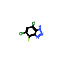 Fc1c(Cl)cc(Cl)c2[nH]nnc12